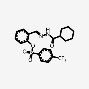 O=C(NN=Cc1ccccc1OS(=O)(=O)c1ccc(C(F)(F)F)cc1)C1CCCCC1